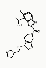 CC(O)c1c(F)ccc2[nH]c(C(=O)N3CCC4=C(C3)SCN4NCC3CCOC3)cc12